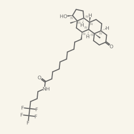 C[C@]12CCC(=O)C[C@@H]1CC[C@@H]1[C@@H]2[C@@H](CCCCCCCCCC(=O)NCCCC(F)(F)C(F)(F)F)C[C@]2(C)[C@@H](O)CC[C@@H]12